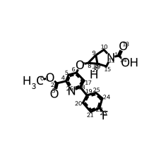 COC(=O)c1cc(OC2C3CN(C(=O)O)C[C@H]32)cc(-c2ccc(F)cc2)n1